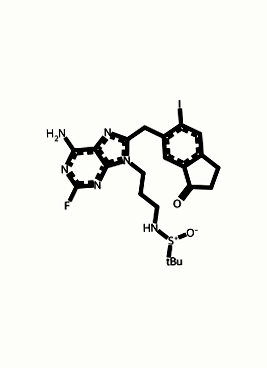 CC(C)(C)[S+]([O-])NCCCn1c(Cc2cc3c(cc2I)CCC3=O)nc2c(N)nc(F)nc21